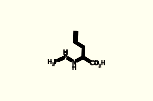 C=CCC(NPP)C(=O)O